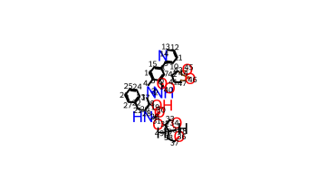 O=C(NN(Cc1ccc(-c2ccccn2)cc1)C[C@H](O)[C@H](Cc1ccccc1)NC(=O)O[C@H]1CO[C@H]2OCC[C@H]21)OC1CCS(=O)(=O)C1